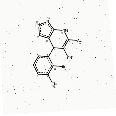 CC(=O)C1=C(C#N)C(c2cccc(C#N)c2Br)c2c[nH]nc2N1